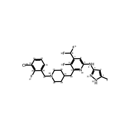 Cc1cc(Nc2cc(C(F)F)c(F)c(CC3CCN(Cc4cccc(Cl)c4F)CC3)n2)n[nH]1